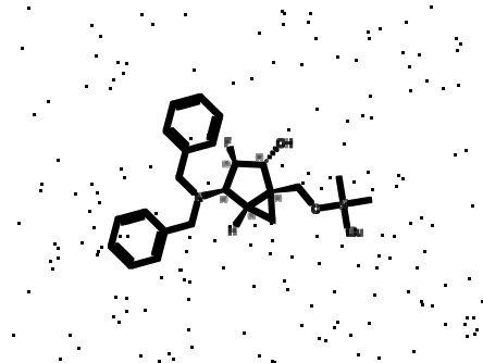 CC(C)(C)[Si](C)(C)OC[C@@]12C[C@@H]1[C@@H](N(Cc1ccccc1)Cc1ccccc1)[C@@H](F)[C@@H]2O